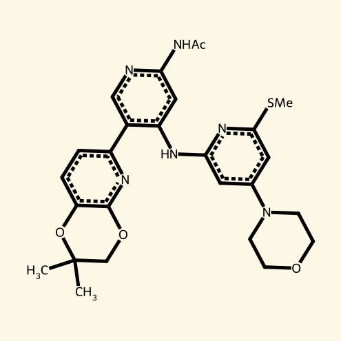 CSc1cc(N2CCOCC2)cc(Nc2cc(NC(C)=O)ncc2-c2ccc3c(n2)OCC(C)(C)O3)n1